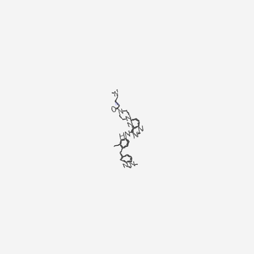 Cc1cc(Nc2ncnc3ccc(N4CCN(C(=O)/C=C/CN(C)C)CC4)nc23)ccc1Cc1ccc2c(c1)ncn2C